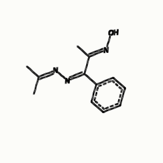 CC(C)=NN=C(C(C)=NO)c1ccccc1